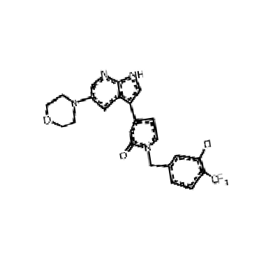 O=c1cc(-c2c[nH]c3ncc(N4CCOCC4)cc23)ccn1Cc1ccc(C(F)(F)F)c(Cl)c1